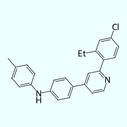 CCc1cc(Cl)ccc1-c1cc(-c2ccc(Nc3ccc(C)cc3)cc2)ccn1